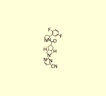 N#Cc1ccnc(N2C[C@H]3CC(C(=O)N4N=CCC4c4cc(F)ccc4F)C[C@H]3C2)n1